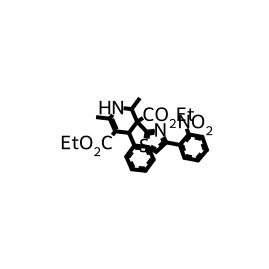 CCOC(=O)C1=C(C)NC(C)C(C(=O)OCC)(c2nc(-c3ccccc3[N+](=O)[O-])cs2)C1c1ccccc1